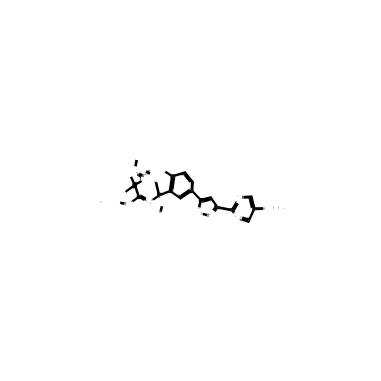 CN=[S@]1(=O)C[C@@](CF)(c2cc(-c3cc(-c4ncc(OC)cn4)no3)ccc2F)N=C(NC(=O)O)C1(C)C